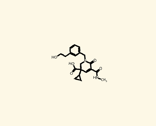 CNC(=O)C1=CC(C(=O)O)(C2CC2)CN(Cc2cccc(CCO)c2)C1=O